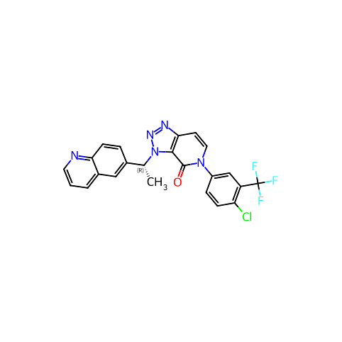 C[C@H](c1ccc2ncccc2c1)n1nnc2ccn(-c3ccc(Cl)c(C(F)(F)F)c3)c(=O)c21